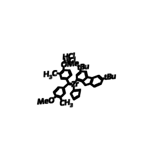 COc1ccc([C](c2ccc(OC)c(C)c2)=[Zr]([C]2=CC=CC2)[c]2cc(C(C)(C)C)cc3c2Cc2ccc(C(C)(C)C)cc2-3)cc1C.Cl.Cl